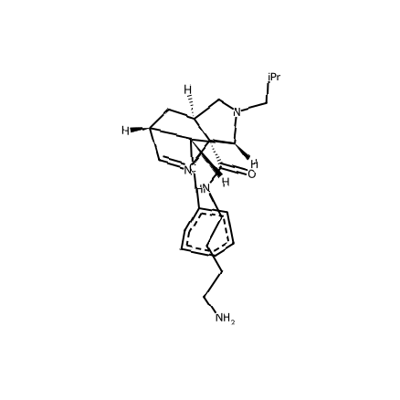 CC(C)CN1C[C@@H]2C[C@H]3C=N[C@]2(C(=O)NCCCCN)[C@@H]1[C@@H]3Cc1ccccc1